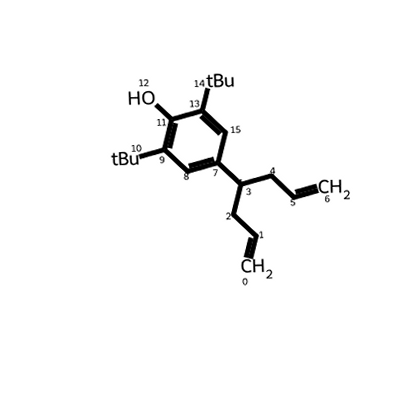 C=CC[C](CC=C)c1cc(C(C)(C)C)c(O)c(C(C)(C)C)c1